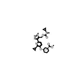 COC(=O)[C@H]1CCC[C@H](Oc2ccc(-c3nnn(C)c3COC(=O)N(C)C3CC3)nc2C2CC2)C1